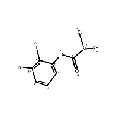 CCN(CC)C(=O)Oc1cccc(Br)c1I